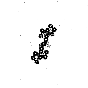 CC(C)c1c2oc3cc4cc(N(c5cccc6c5oc5c(-c7ccccc7)cccc56)c5cccc6c5oc5c(-c7ccccc7)cccc56)ccc4cc3c2cc2oc3cc4cc(N(c5cccc6c5oc5c(-c7ccccc7)cccc56)c5cccc6c5oc5c(-c7ccccc7)cccc56)ccc4cc3c12